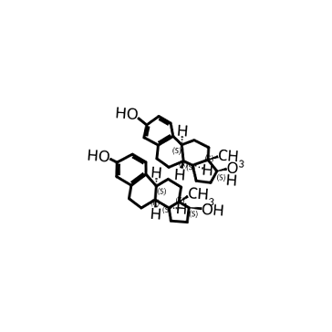 C[C@]12CC[C@@H]3c4ccc(O)cc4CC[C@H]3[C@@H]1CC[C@@H]2O.C[C@]12CC[C@@H]3c4ccc(O)cc4CC[C@H]3[C@@H]1CC[C@@H]2O